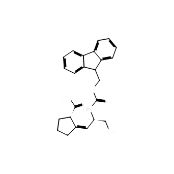 O=C(N[C@H](/C=C1/CCC[C@H]1C(=O)O)CO)OCC1c2ccccc2-c2ccccc21